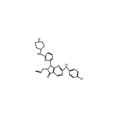 C=CCn1c(=O)c2cnc(Nc3ccc(Cl)cc3)nc2n1-c1cccc(NC2CCNCC2)n1